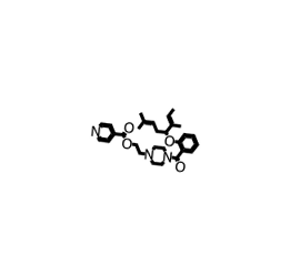 C/C=C(\C)C(CC=C(C)C)Oc1ccccc1C(=O)N1CCN(CCOC(=O)c2ccncc2)CC1